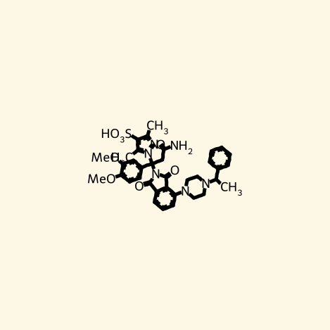 COc1ccc(C(CC(N)=O)(N2C(=O)c3cccc(N4CCN(C(C)c5ccccc5)CC4)c3C2=O)n2nc(C)c(S(=O)(=O)O)c2C)cc1OC